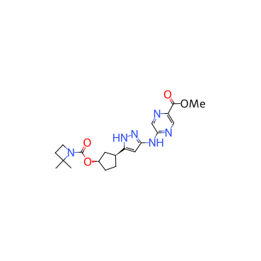 COC(=O)c1cnc(Nc2cc([C@H]3CC[C@@H](OC(=O)N4CCC4(C)C)C3)[nH]n2)cn1